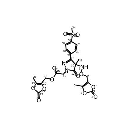 Cc1oc(=O)oc1CONC1(C)C(=O)N(CC(=O)OCc2oc(=O)oc2C)N=C1c1ccc(S(C)(=O)=O)cc1